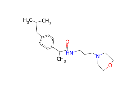 CC(C)Cc1ccc(C(C)C(=O)NCCCN2CCOCC2)cc1